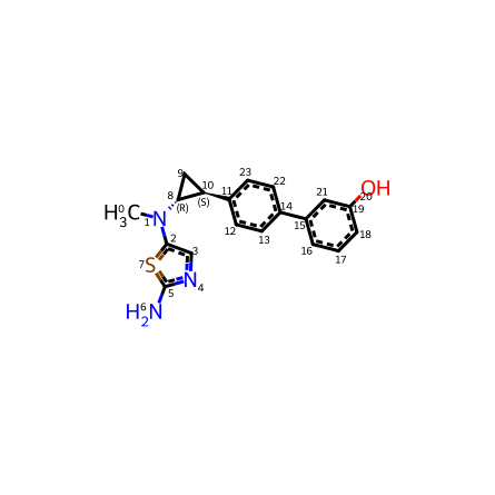 CN(c1cnc(N)s1)[C@@H]1C[C@H]1c1ccc(-c2cccc(O)c2)cc1